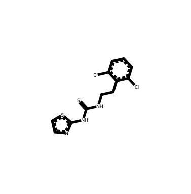 S=C(NCCc1c(Cl)cccc1Cl)Nc1nccs1